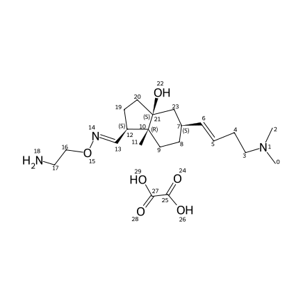 CN(C)CCC=C[C@H]1CC[C@]2(C)[C@@H](C=NOCCN)CC[C@]2(O)C1.O=C(O)C(=O)O